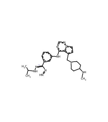 CNC1CCN(Cc2ccn3ncnc(Nc4cccc(/C(N=N)=N/NC(C)C)c4)c23)CC1